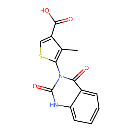 Cc1c(C(=O)O)csc1-n1c(=O)[nH]c2ccccc2c1=O